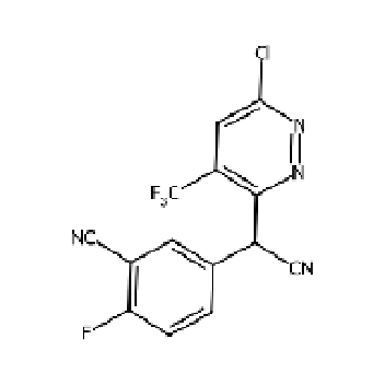 N#Cc1cc(C(C#N)c2nnc(Cl)cc2C(F)(F)F)ccc1F